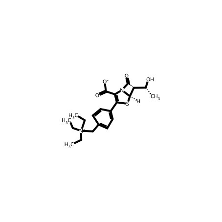 CC[N+](CC)(CC)Cc1ccc(C2=C(C(=O)[O-])N3C(=O)[C@H]([C@@H](C)O)[C@H]3S2)cc1